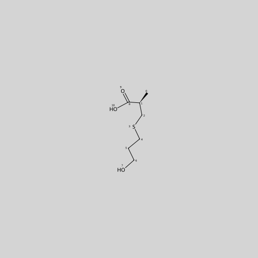 C[C@@H](CSCCCO)C(=O)O